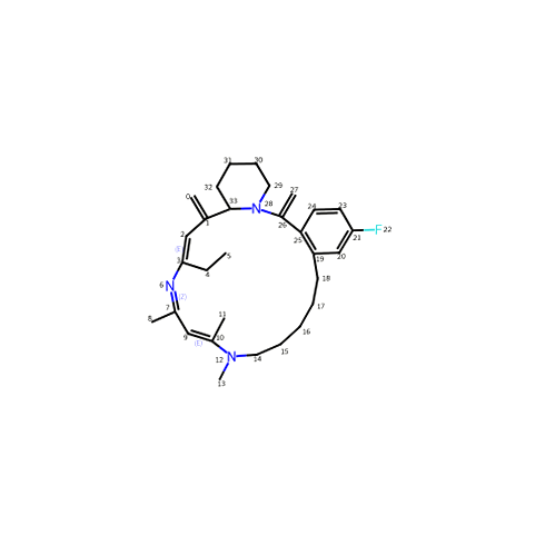 C=C1/C=C(CC)/N=C(C)\C=C(/C)N(C)CCCCCc2cc(F)ccc2C(=C)N2CCCCC12